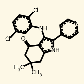 CC1(C)CC(=O)c2c([nH]c(-c3ccncc3)c2Nc2cc(Cl)ccc2Cl)C1